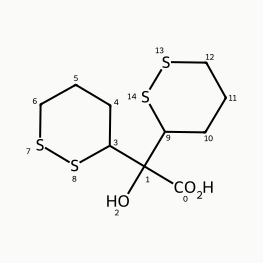 O=C(O)C(O)(C1CCCSS1)C1CCCSS1